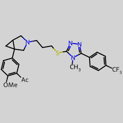 COc1ccc(C23CC2CN(CCCSc2nnc(-c4ccc(C(F)(F)F)cc4)n2C)C3)cc1C(C)=O